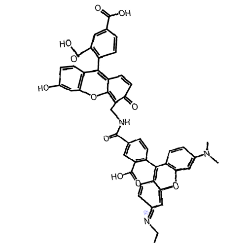 CC/N=c1/ccc2c(-c3ccc(C(=O)NCc4c5oc6cc(O)ccc6c(-c6ccc(C(=O)O)cc6C(=O)O)c-5ccc4=O)cc3C(=O)O)c3ccc(N(C)C)cc3oc-2c1